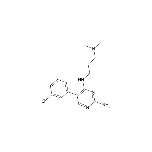 CN(C)CCCNc1nc(N)ncc1-c1cccc(Cl)c1